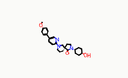 COc1ccc(-c2ccc(N3CCC[C@@]4(CCN([C@H]5CC[C@H](O)CC5)C4=O)C3)nc2)cc1